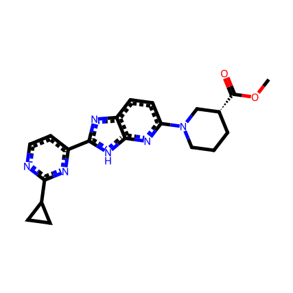 COC(=O)[C@@H]1CCCN(c2ccc3nc(-c4ccnc(C5CC5)n4)[nH]c3n2)C1